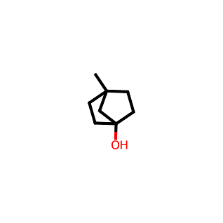 CC12CCC(O)(CC1)C2